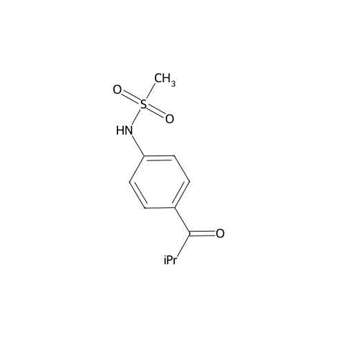 CC(C)C(=O)c1ccc(NS(C)(=O)=O)cc1